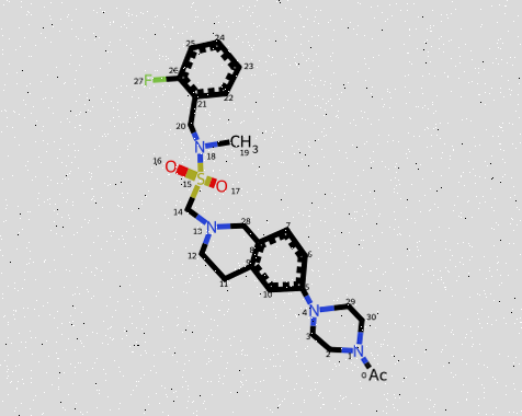 CC(=O)N1CCN(c2ccc3c(c2)CCN(CS(=O)(=O)N(C)Cc2ccccc2F)C3)CC1